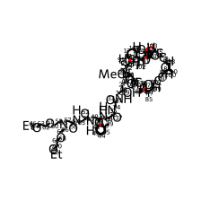 C=C1C[C@@H]2CC[C@]34CC5OC6(O3)C3C(O[C@H]7CC[C@H](CC(=S)C[C@@H]8[C@@H](OC)[C@@H](C[C@H](O)CNC(=O)CNC(=O)[C@H](Cc9ccccc9)NC(=O)CNC(=O)CNC(=O)CN(CCOCCOCC)CCOCCOCC)O[C@H]8C[C@H]8O[C@@H](CC[C@@H]1O2)C[C@@H](C)C8=C)S[C@@H]7[C@@H]3O4)[C@H]56